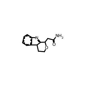 NC(=O)CC1OCCC2C1=Nc1ccccc12